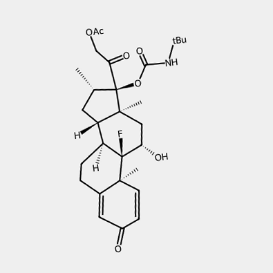 CC(=O)OCC(=O)[C@@]1(OC(=O)NC(C)(C)C)[C@@H](C)C[C@H]2[C@@H]3CCC4=CC(=O)C=C[C@]4(C)[C@@]3(F)[C@@H](O)C[C@@]21C